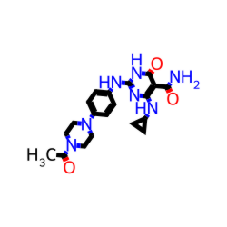 CC(=O)N1CCN(c2ccc(Nc3nc(NC4CC4)c(C(N)=O)c(=O)[nH]3)cc2)CC1